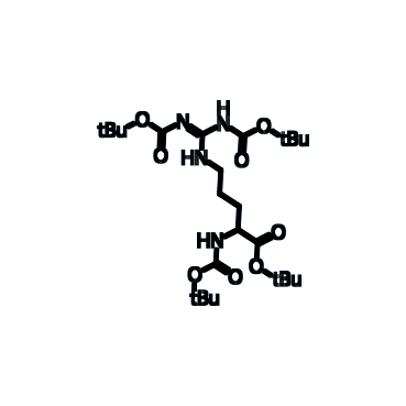 CC(C)(C)OC(=O)/N=C(\NCCCC(NC(=O)OC(C)(C)C)C(=O)OC(C)(C)C)NC(=O)OC(C)(C)C